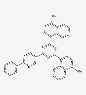 CC(C)(C)c1ccc(-c2nc(-c3ccc(-c4ccccc4)nc3)nc(-c3ccc(C(C)(C)C)c4ccccc34)n2)c2ccccc12